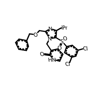 CC(C)c1nc(COCc2ccccc2)n(Cc2ccc[nH]c2=O)c1S(=O)(=O)c1cc(Cl)cc(Cl)c1